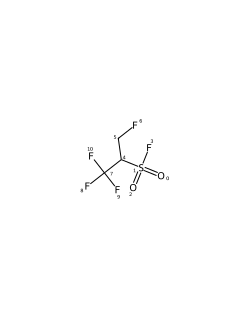 O=S(=O)(F)C(CF)C(F)(F)F